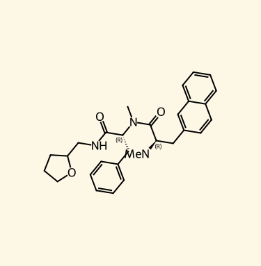 CN[C@H](Cc1ccc2ccccc2c1)C(=O)N(C)[C@H](Cc1ccccc1)C(=O)NCC1CCCO1